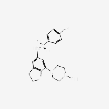 CN1CCN(c2cc(NS(=O)(=O)c3ccc(Br)cc3)cc3c2OCC3)CC1